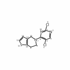 Clc1ncc(Cl)c(N2CCc3sccc3C2)n1